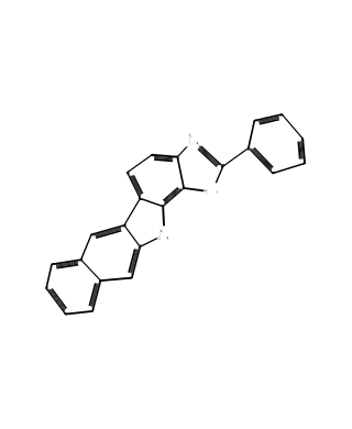 c1ccc(-c2nc3ccc4c5cc6ccccc6cc5[nH]c4c3o2)cc1